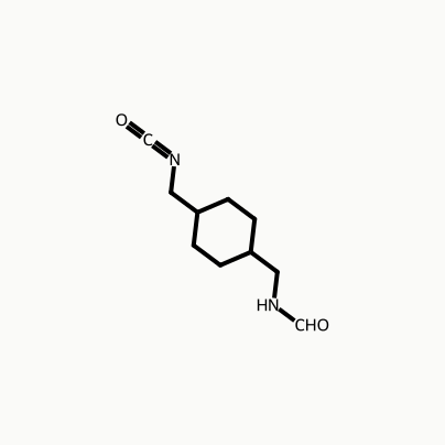 O=C=NCC1CCC(CNC=O)CC1